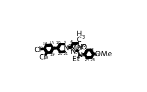 CCN(c1nc(C)cc(N2CC=C(c3ccc(Cl)c(Cl)c3)CC2)n1)c1ccc(OC)cc1OC